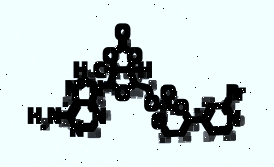 C[C@@]12OC(=O)O[C@@H]1[C@@H](COP1(=O)OCCC(c3ccnc(Br)c3)O1)O[C@H]2n1cnc2c(N)ncnc21